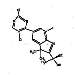 CC[C@](C)(O)C1=Nc2c(F)cc(-c3nc(Cl)ncc3Cl)cc2C1(C)C